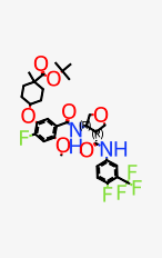 COc1cc(F)c(OC2CCC(C)(C(=O)OC(C)(C)C)CC2)cc1C(=O)N[C@H]1COC[C@@H]1C(=O)Nc1ccc(F)c(C(F)(F)F)c1